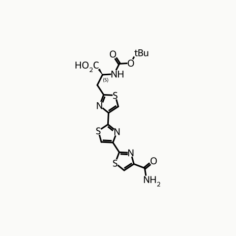 CC(C)(C)OC(=O)N[C@@H](Cc1nc(-c2nc(-c3nc(C(N)=O)cs3)cs2)cs1)C(=O)O